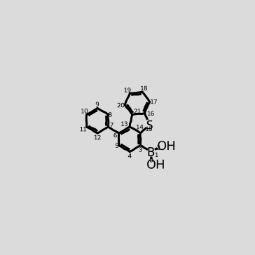 OB(O)c1ccc(-c2ccccc2)c2c1sc1ccccc12